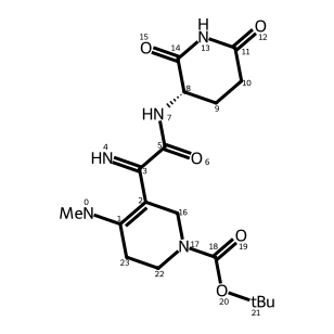 CNC1=C(C(=N)C(=O)N[C@H]2CCC(=O)NC2=O)CN(C(=O)OC(C)(C)C)CC1